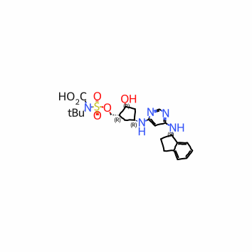 CC(C)(C)N(C(=O)O)S(=O)(=O)OC[C@H]1C[C@@H](Nc2cc(N[C@H]3CCc4ccccc43)ncn2)C[C@H]1O